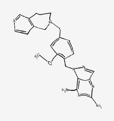 COc1cc(CN2CCc3cnccc3C2)ccc1Cn1ncc2nc(N)nc(N)c21